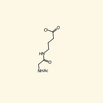 CC(=O)NCC(=O)NCCCC(=O)Cl